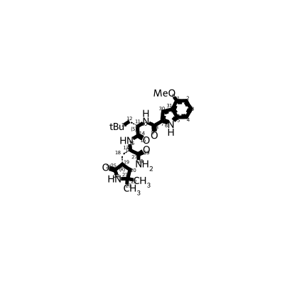 COc1cccc2[nH]c(C(=O)N[C@@H](CC(C)(C)C)C(=O)N[C@@H](C[C@@H]3CC(C)(C)NC3=O)C(N)=O)cc12